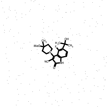 COC1(C)CCN(c2c(C#N)c(=O)[nH]c3ccc(C(C)(C)O)c(F)c23)CC1